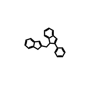 C1=C(CC2C(c3ccccc3)=Cc3ccccc32)Cc2ccccc21